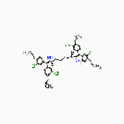 C=CCc1ccc(C(=C(N)BCCCCBC(N)=C(c2ccc(CC=C)c(Cl)c2)c2ccc(CC=C)c(Cl)c2)c2ccc(CC=C)c(Cl)c2)cc1Cl